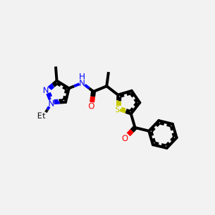 CCn1cc(NC(=O)C(C)c2ccc(C(=O)c3ccccc3)s2)c(C)n1